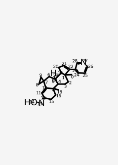 CC12CCC3[C@H](CC4(CC4)C4=CC(=NO)CCC43C)C1CC=C2c1cccnc1